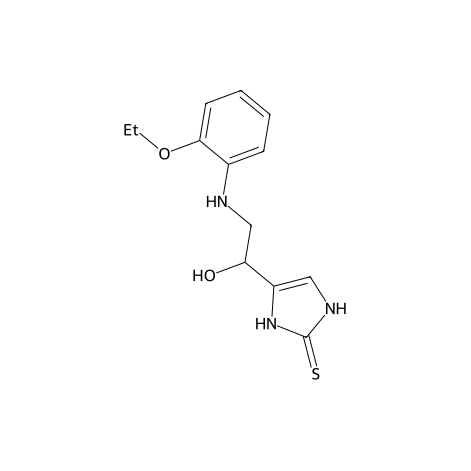 CCOc1ccccc1NCC(O)c1c[nH]c(=S)[nH]1